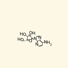 Nc1ccnc2c1ncn2[C@@H]1O[C@H](CO)C(O)[C@@H]1O